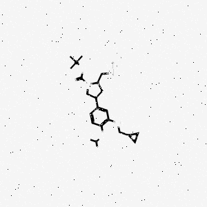 CC(C)(C)OC(=O)N1CC(c2ccc(OC(F)F)c(OCC3CC3)c2)CC1CN=[N+]=[N-]